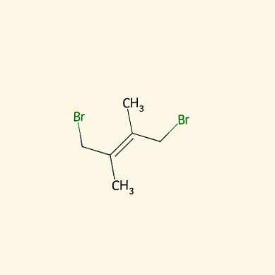 CC(CBr)=C(C)CBr